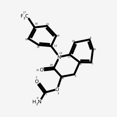 NC(=O)OC1Cc2ccccc2N(c2ccc(C(F)(F)F)cc2)C1=O